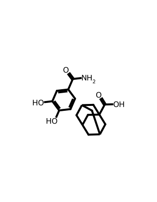 NC(=O)c1ccc(O)c(O)c1.O=C(O)C12CC3CC(CC(C3)C1)C2